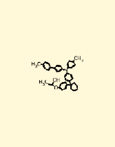 CCC(O)Oc1ccc(C2(c3ccc(N(c4ccc(C)cc4)c4ccc(-c5ccc(C)cc5)cc4)cc3)CCCCC2)cc1